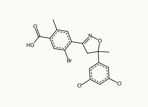 Cc1cc(C2=NOC(C)(c3cc(Cl)cc(Cl)c3)C2)c(Br)cc1C(=O)O